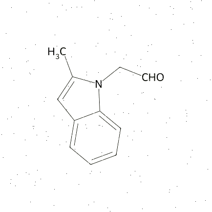 Cc1cc2ccccc2n1CC=O